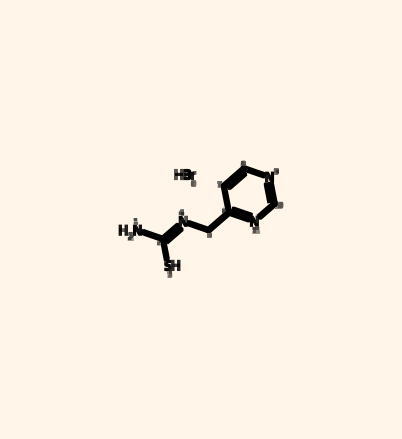 Br.NC(S)=NCc1ccncn1